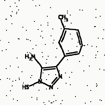 Cc1cccc(-c2nnn(S)c2N)c1